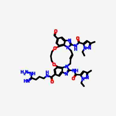 CCn1nc(C)cc1C(=O)Nc1nc2cc(C=O)cc3c2n1C/C=C/Cn1c(NC(=O)c2cc(C)nn2CC)nc2cc(C(=O)NCCCC(=N)NN)cc(c21)OCCCO3